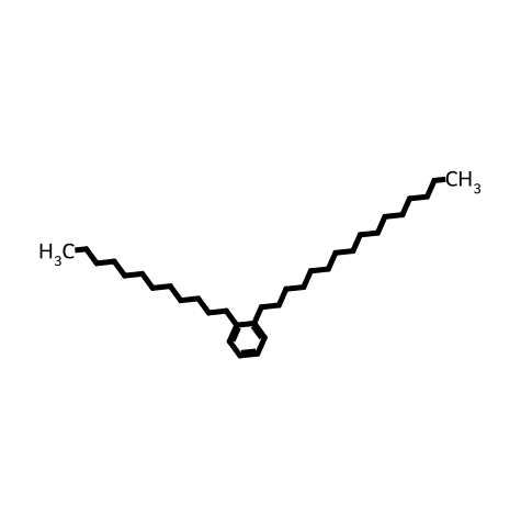 CCCCCCCCCCCCCCCCc1ccccc1CCCCCCCCCCCC